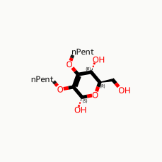 CCCCCOC1=C(OCCCCC)[C@H](O)[C@@H](CO)O[C@@H]1O